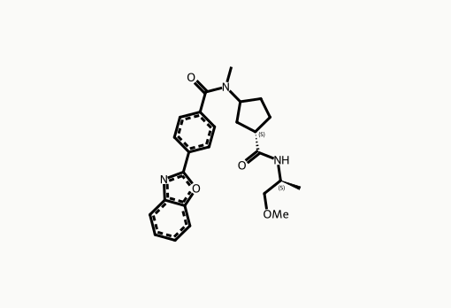 COC[C@H](C)NC(=O)[C@H]1CCC(N(C)C(=O)c2ccc(-c3nc4ccccc4o3)cc2)C1